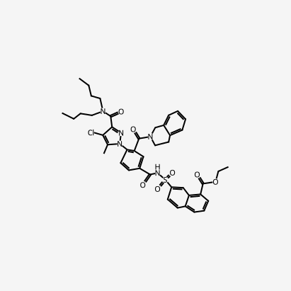 CCCCN(CCCC)C(=O)c1nn(-c2ccc(C(=O)NS(=O)(=O)c3ccc4cccc(C(=O)OCC)c4c3)cc2C(=O)N2CCc3ccccc3C2)c(C)c1Cl